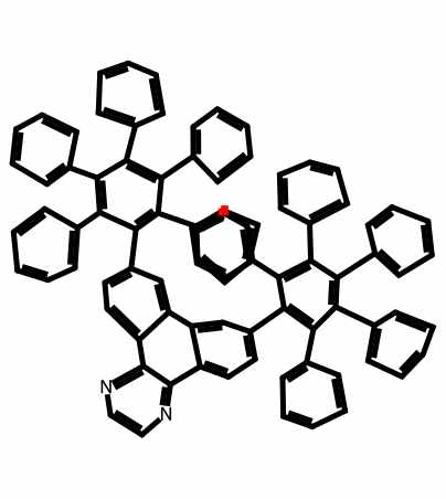 c1ccc(-c2c(-c3ccccc3)c(-c3ccccc3)c(-c3ccc4c(c3)c3cc(-c5c(-c6ccccc6)c(-c6ccccc6)c(-c6ccccc6)c(-c6ccccc6)c5-c5ccccc5)ccc3c3nccnc43)c(-c3ccccc3)c2-c2ccccc2)cc1